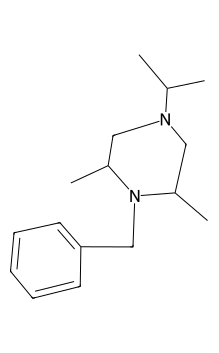 CC(C)N1CC(C)N(Cc2ccccc2)C(C)C1